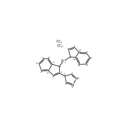 C1=C[CH]([Zr+2][CH]2C(n3cnnc3)=Cc3ccccc32)c2ccccc21.[Cl-].[Cl-]